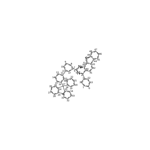 c1ccc(-c2nc(-c3cccc(-c4cccc(C5(c6ccccc6)c6ccccc6-c6ccccc65)c4)c3)nc3c2ccc2c4ccccc4sc23)cc1